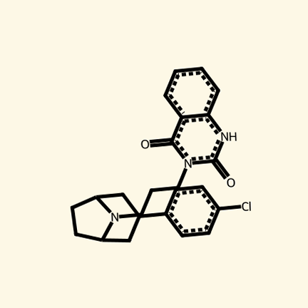 O=c1[nH]c2ccccc2c(=O)n1CCCN1C2CCC1CC(c1ccc(Cl)cc1)C2